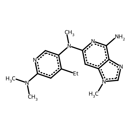 CCc1cc(N(C)C)ncc1N(C)c1cc2c(ncn2C)c(N)n1